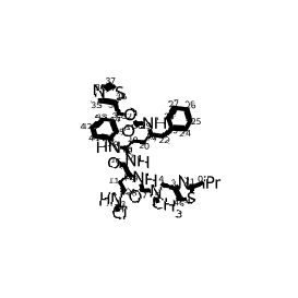 CC(C)c1nc(CN(C)C(=O)N[C@@H](CCNCl)C(=O)N[C@H](CC[C@H](Cc2ccccc2)NC(=O)OCc2cncs2)Nc2ccccc2)cs1